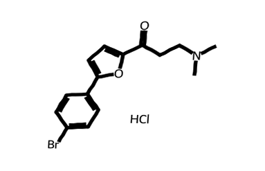 CN(C)CCC(=O)c1ccc(-c2ccc(Br)cc2)o1.Cl